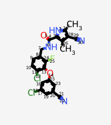 Cc1[nH]c(C(=O)NCc2ccc(Cl)c(Oc3cc(Cl)cc(C#N)c3)c2F)c(C)c1C#N